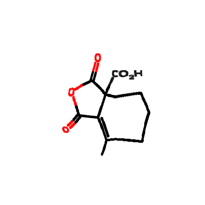 CC1=C2C(=O)OC(=O)C2(C(=O)O)CCC1